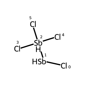 [Cl][SbH][SbH]([Cl])([Cl])[Cl]